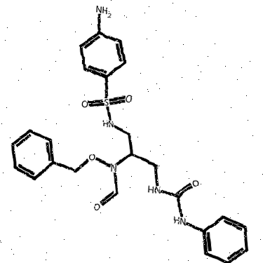 Nc1ccc(S(=O)(=O)NCC([CH]NC(=O)Nc2ccccc2)N(C=O)OCc2ccccc2)cc1